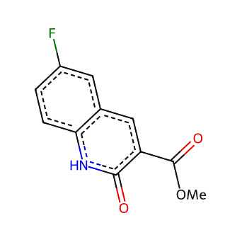 COC(=O)c1cc2cc(F)ccc2[nH]c1=O